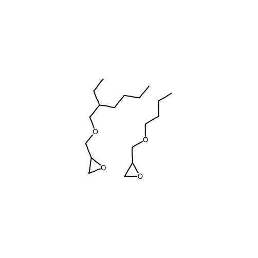 CCCCC(CC)COCC1CO1.CCCCOCC1CO1